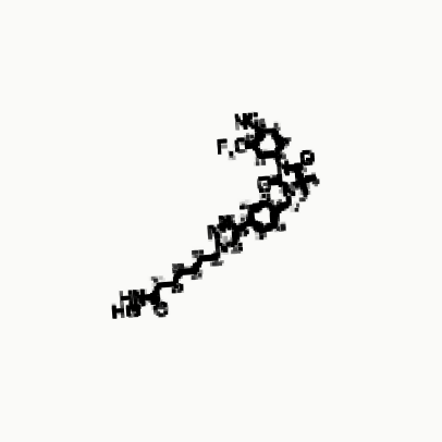 CC1(C)C(=O)N(c2ccc(C#N)c(C(F)(F)F)c2)C(=O)N1Cc1ccc(-c2cn(CCCCCCC(=O)NO)nn2)cc1